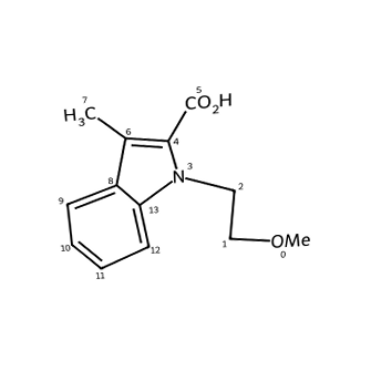 COCCn1c(C(=O)O)c(C)c2ccccc21